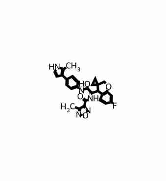 Cc1nonc1C(=O)N[C@H](C(=O)Nc1ccc(-c2cc[nH]c2C)cc1)C1c2ccc(F)cc2OCC12CC2